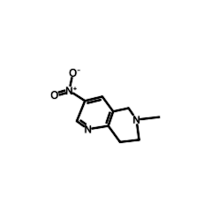 CN1CCc2ncc([N+](=O)[O-])cc2C1